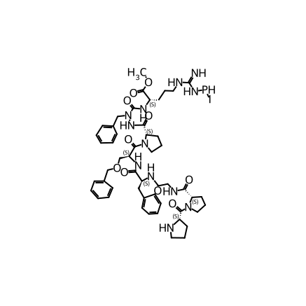 COC(=O)[C@H](CCCNC(=N)NPI)NC(=O)N(Cc1ccccc1)NC(=O)[C@@H]1CCCN1C(=O)[C@H](COCc1ccccc1)NC(=O)[C@H](Cc1ccccc1)NC(=O)CNC(=O)[C@@H]1CCCN1C(=O)[C@@H]1CCCN1